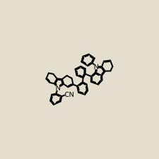 N#Cc1ccccc1-n1c2c(c3c1C=C(c1ccccc1-c1ccccc1-c1cccc4c5c(n(-c6ccccc6)c14)C=CCC5)CC3)CCC=C2